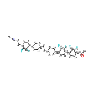 C/C=C/CCc1ccc(C2CCC(CCC3CCC(c4ccc(-c5ccc(C6CO6)c(F)c5F)c(F)c4F)CC3)CC2)c(F)c1F